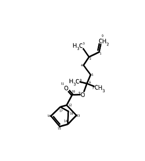 C=CC(C)CCC(C)(C)OC(=O)C1CC2C=CC1C2